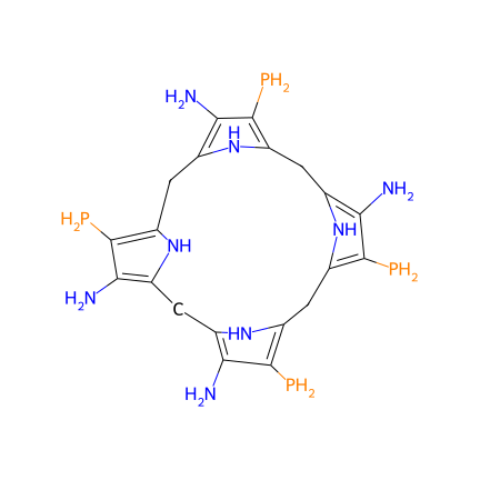 Nc1c2[nH]c(c1P)Cc1[nH]c(c(P)c1N)Cc1[nH]c(c(P)c1N)Cc1[nH]c(c(N)c1P)C2